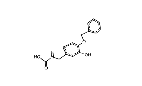 O=C(O)NCc1ccc(OCc2ccccc2)c(O)c1